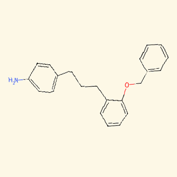 Nc1ccc(CCCc2ccccc2OCc2ccccc2)cc1